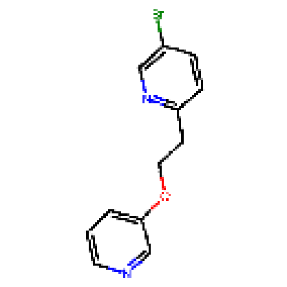 Brc1ccc(CCOc2cccnc2)nc1